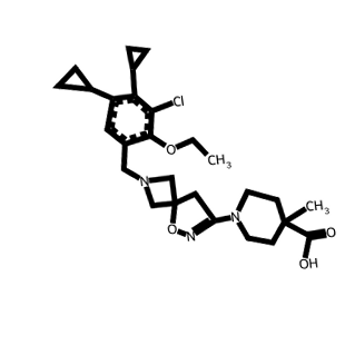 CCOc1c(CN2CC3(CC(N4CCC(C)(C(=O)O)CC4)=NO3)C2)cc(C2CC2)c(C2CC2)c1Cl